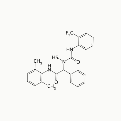 Cc1cccc(C)c1NC(=O)C(c1ccccc1)N(S)C(=O)Nc1ccccc1C(F)(F)F